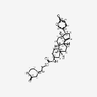 C[C@]12CC[C@H](NC(=O)OCCN3CCNC(=O)C3)C[C@H]1CC[C@H]1C3=CC[C@H](c4ccc(=O)oc4)[C@@]3(C)CC[C@@H]12